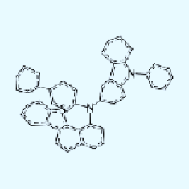 c1ccc(-c2ccc(N(c3ccc4c(c3)c3ccccc3n4-c3ccccc3)c3cccc4ccc5c6ccccc6sc5c34)cc2)cc1